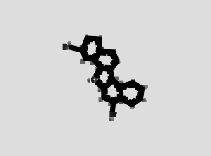 Brc1ccc2ccc3c(oc4cc(Br)c5ccccc5c43)c2c1